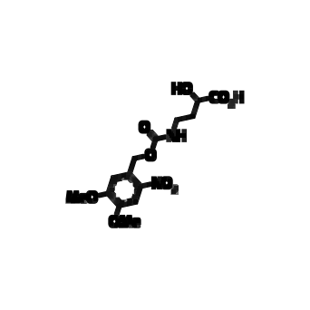 COc1cc(COC(=O)NCCC(O)C(=O)O)c([N+](=O)[O-])cc1OC